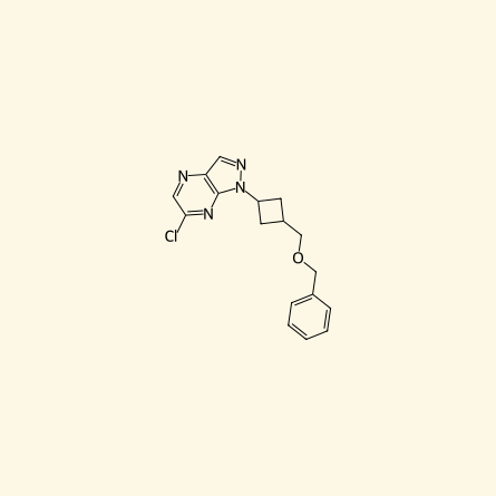 Clc1cnc2cnn(C3CC(COCc4ccccc4)C3)c2n1